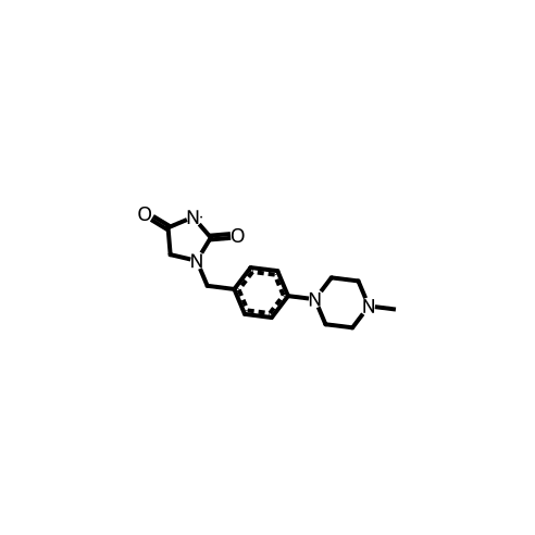 CN1CCN(c2ccc(CN3CC(=O)[N]C3=O)cc2)CC1